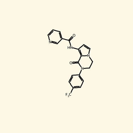 O=C(Nc1ccn2c1C(=O)N(c1ccc(C(F)(F)F)cc1)CC2)c1cccnc1